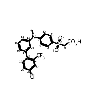 CN(c1ccc(S(=O)(=O)CC(=O)O)cc1)c1cccc(-c2ccc(Cl)cc2C(F)(F)F)c1